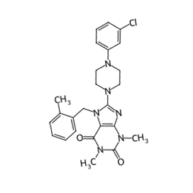 Cc1ccccc1Cn1c(N2CCN(c3cccc(Cl)c3)CC2)nc2c1c(=O)n(C)c(=O)n2C